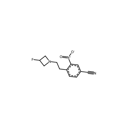 N#Cc1ccc(CCN2CC(F)C2)c([N+](=O)[O-])c1